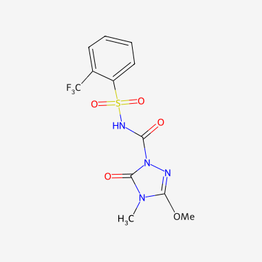 COc1nn(C(=O)NS(=O)(=O)c2ccccc2C(F)(F)F)c(=O)n1C